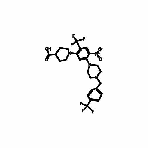 O=C(O)C1CCN(c2cc(N3CCN(Cc4ccc(C(F)(F)F)cc4)CC3)c([N+](=O)[O-])cc2C(F)(F)F)CC1